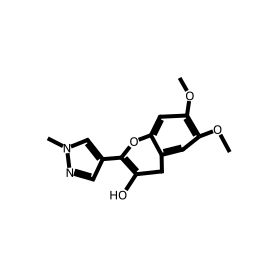 COc1cc2c(cc1OC)OC(c1cnn(C)c1)=C(O)C2